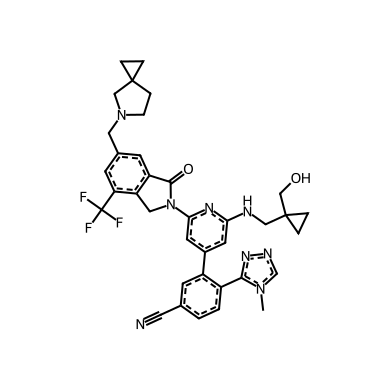 Cn1cnnc1-c1ccc(C#N)cc1-c1cc(NCC2(CO)CC2)nc(N2Cc3c(cc(CN4CCC5(CC5)C4)cc3C(F)(F)F)C2=O)c1